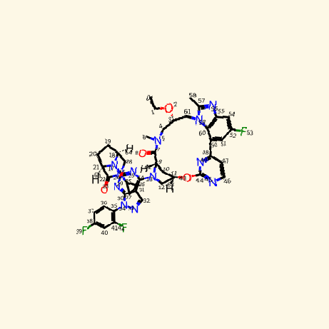 CCO[C@H]1CN(C)C(=O)[C@@H]2C[C@@H](CN2c2nc(N3[C@H]4CC[C@@H]3C(=O)N(C3CC3)C4)nc3c2cnn3-c2ccc(F)cc2F)Oc2nccc(n2)-c2cc(F)cc3nc(C)n(c23)C1